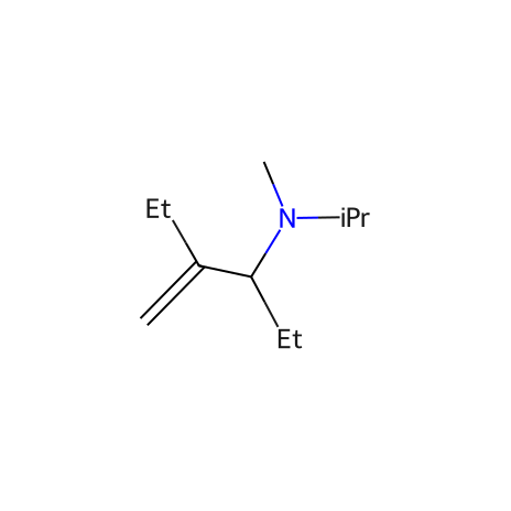 C=C(CC)C(CC)N(C)C(C)C